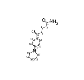 NC(=O)CCCC(=O)c1ccc(N2CCOCC2)cc1